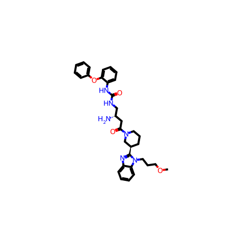 COCCCn1c([C@@H]2CCCN(C(=O)C[C@H](N)CNC(=O)Nc3ccccc3Oc3ccccc3)C2)nc2ccccc21